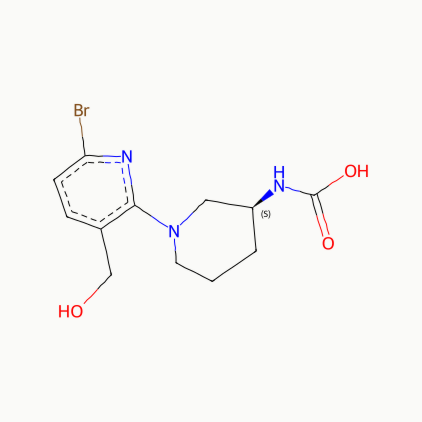 O=C(O)N[C@H]1CCCN(c2nc(Br)ccc2CO)C1